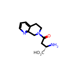 N[C@@H](CC(=O)N1CCc2cccnc2C1)C(=O)O